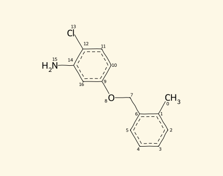 Cc1ccccc1COc1ccc(Cl)c(N)c1